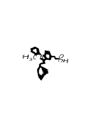 Cc1ccccc1-n1cc(CCc2ccccc2)c2cc(CCC(=O)O)ccc21